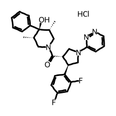 C[C@@H]1CN(C(=O)[C@@H]2CN(c3cccnn3)C[C@H]2c2ccc(F)cc2F)C[C@H](C)[C@]1(O)c1ccccc1.Cl